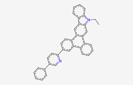 CCn1c2ccccc2c2cc3c4ccc(-c5ccc(-c6ccccc6)cn5)cc4c4ccccc4c3cc21